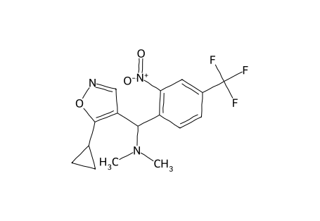 CN(C)C(c1ccc(C(F)(F)F)cc1[N+](=O)[O-])c1cnoc1C1CC1